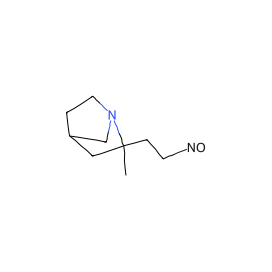 CC1(CCN=O)CC2CCN1C2